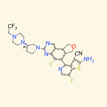 N#Cc1c(N)sc2c(F)cnc(-c3c4c(c5cnc(N6CC[C@@H](N7CCN(CC(F)(F)F)CC7)C6)nc5c3F)COC4)c12